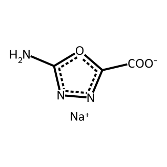 Nc1nnc(C(=O)[O-])o1.[Na+]